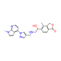 Cc1c(C(O)CNCc2cnn(-c3ccnc4c3ccn4C)c2)ccc2c1COC2=O